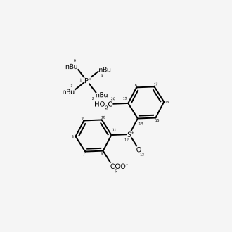 CCCC[P+](CCCC)(CCCC)CCCC.O=C([O-])c1ccccc1[S+]([O-])c1ccccc1C(=O)O